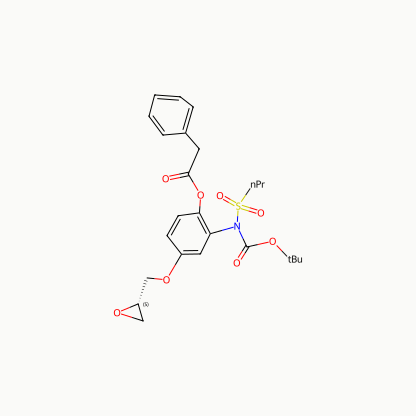 CCCS(=O)(=O)N(C(=O)OC(C)(C)C)c1cc(OC[C@@H]2CO2)ccc1OC(=O)Cc1ccccc1